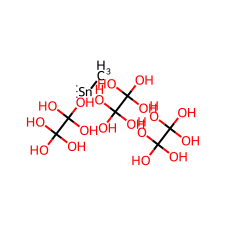 OC(O)(O)C(O)(O)O.OC(O)(O)C(O)(O)O.OC(O)(O)C(O)(O)O.[CH3][Sn]